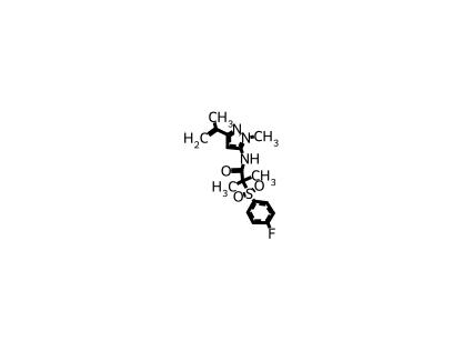 C=C(C)c1cc(NC(=O)C(C)(C)S(=O)(=O)c2ccc(F)cc2)n(C)n1